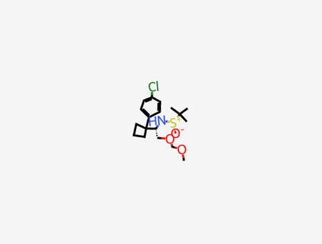 COCOC[C@@H](N[S@+]([O-])C(C)(C)C)C1(c2ccc(Cl)cc2)CCC1